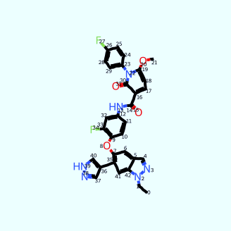 CCn1ncc2cc(Oc3ccc(NC(=O)c4ccc(OC)n(-c5ccc(F)cc5)c4=O)cc3F)c(-c3cn[nH]c3)cc21